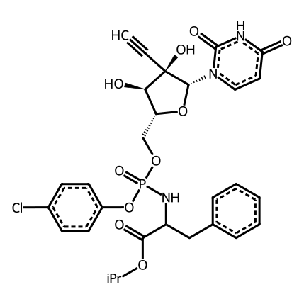 C#C[C@@]1(O)[C@H](O)[C@@H](COP(=O)(NC(Cc2ccccc2)C(=O)OC(C)C)Oc2ccc(Cl)cc2)O[C@H]1n1ccc(=O)[nH]c1=O